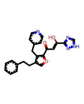 O=C(C=C(O)c1nc[nH]n1)c1occ(CCc2ccccc2)c1Cc1ccncc1